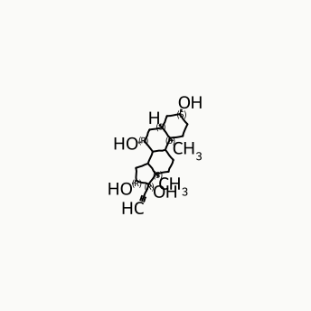 C#C[C@@]1(O)[C@H](O)CC2C3C(CC[C@@]21C)[C@@]1(C)CC[C@H](O)C[C@H]1C[C@H]3O